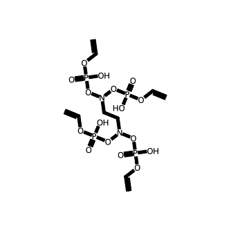 C=COP(=O)(O)ON(CCN(OP(=O)(O)OC=C)OP(=O)(O)OC=C)OP(=O)(O)OC=C